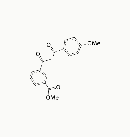 COC(=O)c1cccc(C(=O)CC(=O)c2ccc(OC)cc2)c1